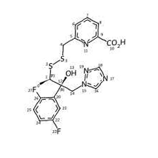 C[C@@H](SSCc1cccc(C(=O)O)n1)[C@](O)(Cn1cncn1)c1cc(F)ccc1F